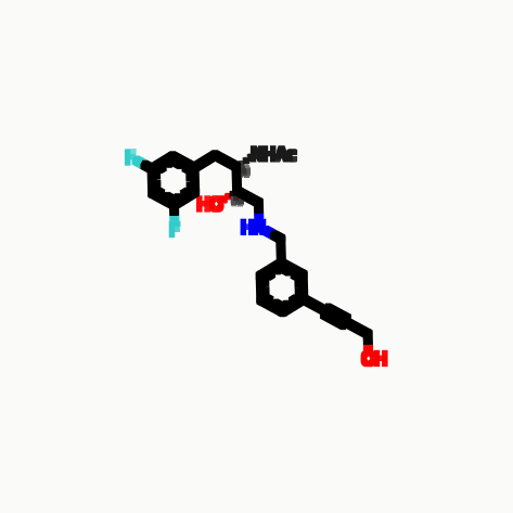 CC(=O)N[C@@H](Cc1cc(F)cc(F)c1)[C@@H](O)CNCc1cccc(C#CCO)c1